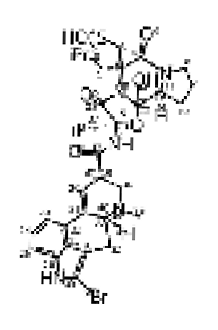 CC(C)C[C@]1(CS(=O)(=O)O)C(=O)N2CCC[C@H]2[C@]2(O)O[C@](NC(=O)[C@@H]3C=C4c5cccc6[nH]c(Br)c(c56)C[C@H]4N(C)C3)(C(C)C)C(=O)N12